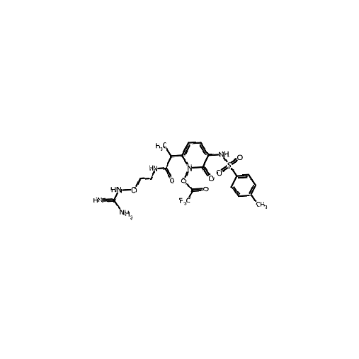 Cc1ccc(S(=O)(=O)Nc2ccc(C(C)C(=O)NCCONC(=N)N)n(OC(=O)C(F)(F)F)c2=O)cc1